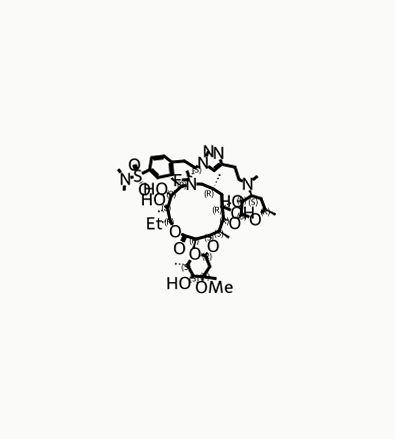 CC[C@H]1OC(=O)[C@H](C)[C@@H](O[C@H]2C[C@@](C)(OC)[C@@H](O)[C@H](C)O2)[C@H](C)[C@@H](O[C@@H]2O[C@H](C)C[C@H](N(C)CCc3cn([C@H](CF)Cc4ccc(S(=O)(=O)N(C)C)cc4)nn3)[C@H]2O)[C@](C)(O)C[C@@H](C)CN(C)[C@H](C)[C@@H](O)[C@]1(C)O